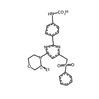 CC[C@H]1COCCN1c1cc(CS(=O)(=O)c2ccccc2)nc(-c2ccc(NC(=O)O)cc2)n1